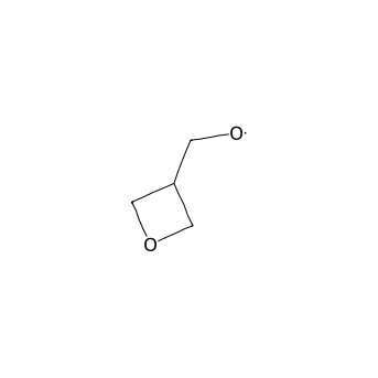 [O]CC1COC1